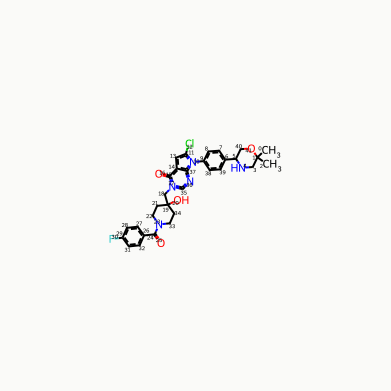 CC1(C)CNC(c2ccc(-n3c(Cl)cc4c(=O)n(CC5(O)CCN(C(=O)c6ccc(F)cc6)CC5)cnc43)cc2)CO1